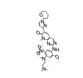 COc1cc(N(C)CCN(C)C)c([N+](=O)[O-])cc1Nc1ncc2cc(-c3ccn(C4CCCCO4)n3)c(=O)n(C)c2n1